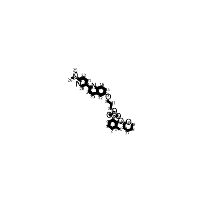 Cc1cccc(S(=O)(=O)OCCCOc2ccc3nc(-c4ccc(N(C)C)nc4)ccc3c2)c1OC1CCCCO1